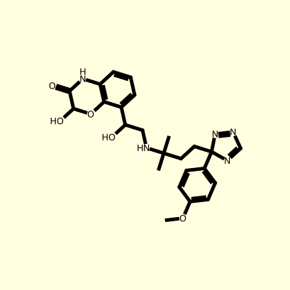 COc1ccc(C2(CCC(C)(C)NCC(O)c3cccc4c3OC(O)C(=O)N4)N=CN=N2)cc1